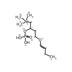 CCC=COCCC(C[N+](C)(C)C)OP(=O)(O)O